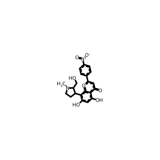 CN1CCC(c2c(O)cc(O)c3c(=O)cc(-c4ccc([N+](=O)[O-])cc4)oc23)C1CO